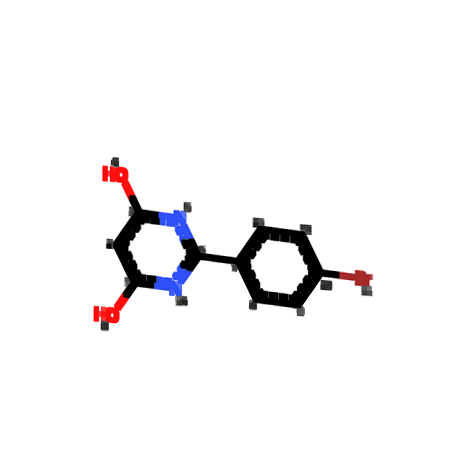 Oc1cc(O)nc(-c2ccc(Br)cc2)n1